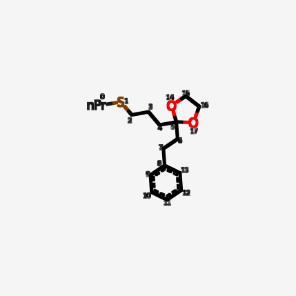 CCCSCCCC1(CCc2ccccc2)OCCO1